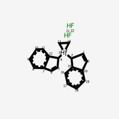 C1=C[CH]([Hf]2([CH]3C=Cc4ccccc43)[CH2][CH2]2)c2ccccc21.F.F